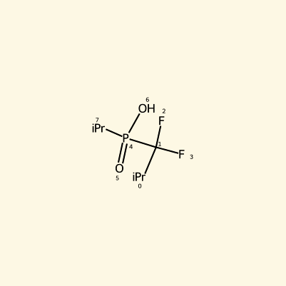 CC(C)C(F)(F)P(=O)(O)C(C)C